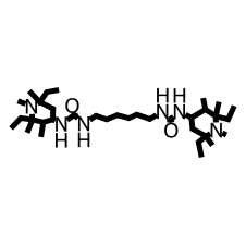 CCC1(C)CC(NC(=O)NCCCCCCNC(=O)NC2CC(C)(CC)N(C)C(C)(CC)C2C)C(C)C(C)(CC)N1C